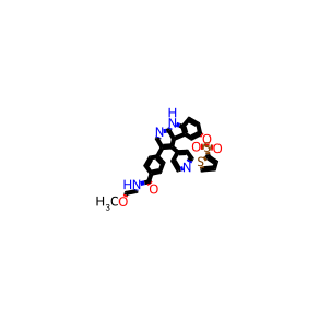 COCCNC(=O)c1ccc(C2=C(c3ccncc3)C3c4cc(OS(=O)(=O)c5cccs5)ccc4NC3N=C2)cc1